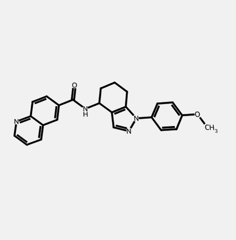 COc1ccc(-n2ncc3c2CCCC3NC(=O)c2ccc3ncccc3c2)cc1